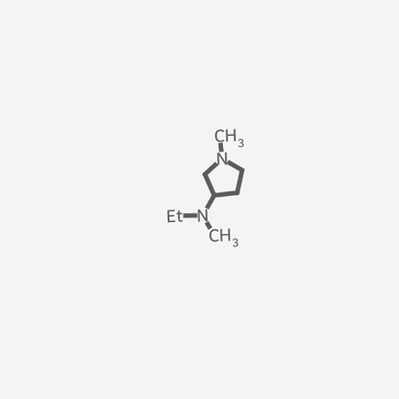 [CH2]CN(C)C1CCN(C)C1